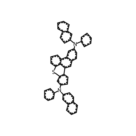 c1ccc(N(c2ccc3c(c2)Sc2cccc4c2c-3cc2ccc(N(c3ccccc3)c3ccc5ccccc5c3)cc24)c2ccc3ccccc3c2)cc1